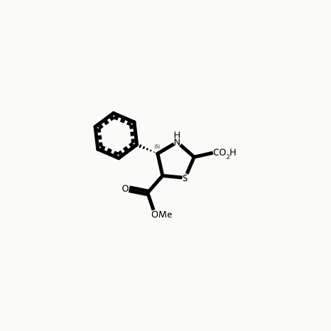 COC(=O)C1SC(C(=O)O)N[C@H]1c1ccccc1